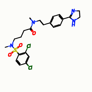 CN(CCc1ccc(C2=NCCN2)cc1)C(=O)CCCN(C)S(=O)(=O)c1ccc(Cl)cc1Cl